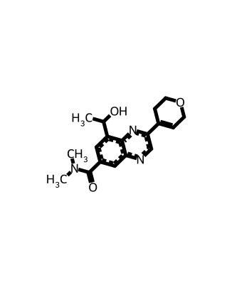 CC(O)c1cc(C(=O)N(C)C)cc2ncc(C3=CCOCC3)nc12